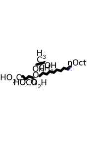 CC(C)(CO)CO.CCCCCCCC/C=C\CCCCCCCCOC(=O)CC(O)(CC(=O)O)C(=O)O